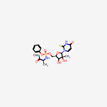 COC(=O)[C@H](C)NP(=O)(OC[C@H]1O[C@@H](n2ccc(=O)[nH]c2=S)[C@](C)(O)C1O)Oc1ccccc1